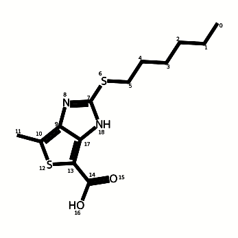 CCCCCCSc1nc2c(C)sc(C(=O)O)c2[nH]1